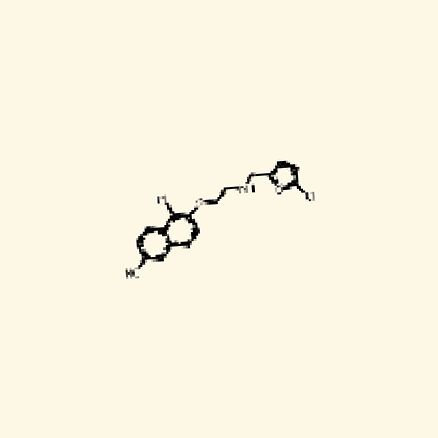 N#Cc1ccc2c(Cl)c(OCCNCc3ccc(Cl)o3)ccc2c1